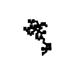 CCC(C)(C)CC(C)(C(=O)OCCNS(=O)(=O)CF)C(C)(C)CC